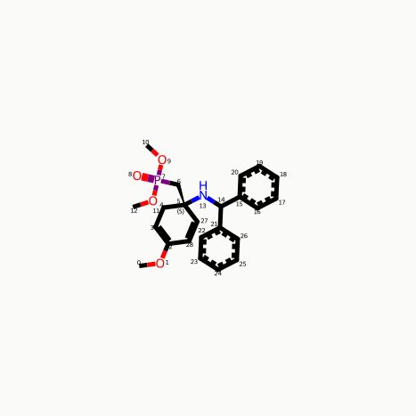 COC1=CC[C@](CP(=O)(OC)OC)(NC(c2ccccc2)c2ccccc2)C=C1